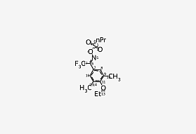 CCCS(=O)(=O)O/N=C(/c1cc(C)c(OCC)c(C)c1)C(F)(F)F